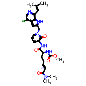 COC(=O)NC(CC/C=C/C(=O)N(C)C)C(=O)Nc1cccn(Cc2cc3c(F)cnc(C=C(C)C)c3[nH]2)c1=O